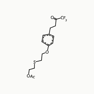 CC(=O)OCCSCCOc1ccc(CCC(=O)C(F)(F)F)cc1